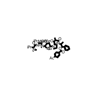 CCC(C)C(C(CC(=O)N1CCCC1C(OC)C(C)C(=O)NC(C)C(OC(=O)c1ccc(C(C)=O)cc1)c1ccccc1)OC)N(C)C(=O)[C@@H](NC(=O)C(C(C)C)N(C)C)C(C)C